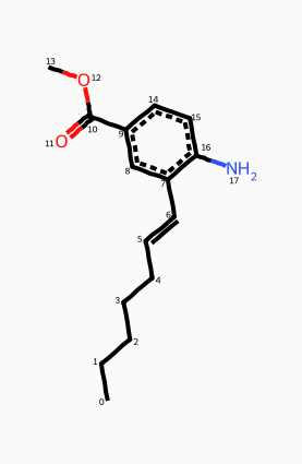 CCCCCC=Cc1cc(C(=O)OC)ccc1N